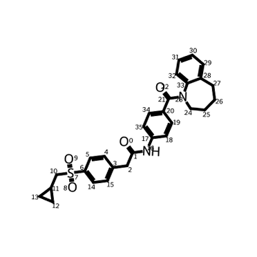 O=C(Cc1ccc(S(=O)(=O)CC2CC2)cc1)Nc1ccc(C(=O)N2CCCCc3ccccc32)cc1